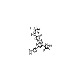 CN[C@@H]1CCN(c2cc(-c3n[nH]c(C)c3F)nc(N)n2)C1.O=C(O)C(F)(F)F.O=C(O)C(F)(F)F